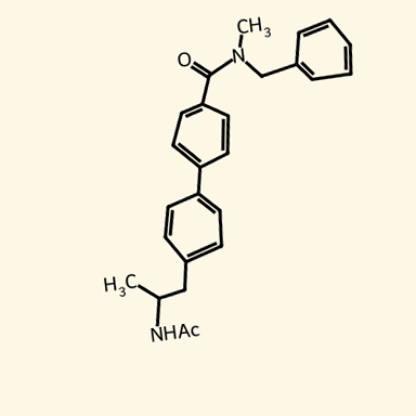 CC(=O)NC(C)Cc1ccc(-c2ccc(C(=O)N(C)Cc3ccccc3)cc2)cc1